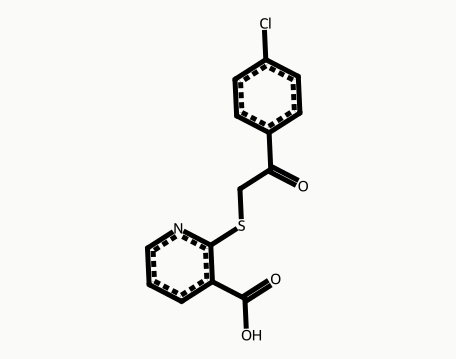 O=C(CSc1ncccc1C(=O)O)c1ccc(Cl)cc1